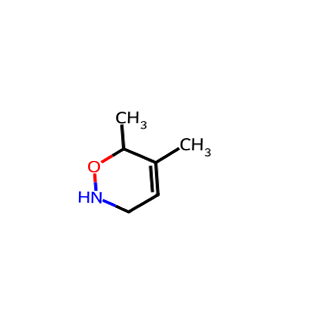 CC1=CCNOC1C